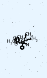 CCCCN(CCCC)c1sc(C=C2C(=O)N(C)C(=O)N(C)C2=O)c(-c2ccccc2)c1C#N